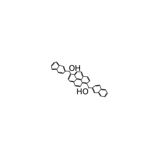 OC(c1ccc2ccccc2c1)c1ccc2ccc3c(C(O)c4ccc5ccccc5c4)ccc4ccc1c2c43